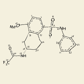 COc1ccc(S(=O)(=O)Nc2ccccc2)c2c1C[C@@H](NC(=O)C(F)(F)F)CC2